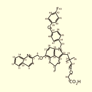 CC1Cc2c(OCc3ccc4ccccc4n3)ccc3c2c(c(CC(C)(C)C=NOCC(=O)O)n3Cc2ccc(Oc3ccc(F)cc3)cc2)S1